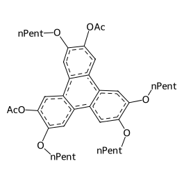 CCCCCOc1cc2c(cc1OCCCCC)c1cc(OC(C)=O)c(OCCCCC)cc1c1cc(OC(C)=O)c(OCCCCC)cc21